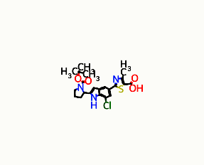 Cc1nc(-c2cc(Cl)c3[nH]c(C4CCCN4C(=O)OC(C)(C)C)cc3c2)sc1C(=O)O